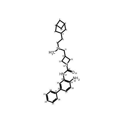 CN(CCC1CC2CC(C1)C2)CC1CN(C(=O)Nc2cc(-c3ccccc3)ccc2N)C1